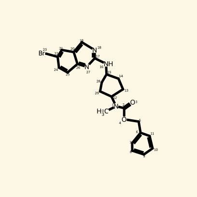 CN(C(=O)OCc1ccccc1)C1CCC(Nc2ncc3cc(Br)ccc3n2)CC1